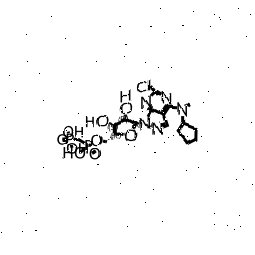 CN(c1nc(Cl)nc2c1cnn2[C@@H]1O[C@H](COP(=O)(O)CP(=O)(O)O)[C@@H](O)[C@H]1O)C1CCCC1